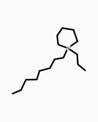 CCCCCCCC[N+]1(CCC)CCCCC1